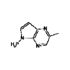 Cc1cnc2c(ccn2P)n1